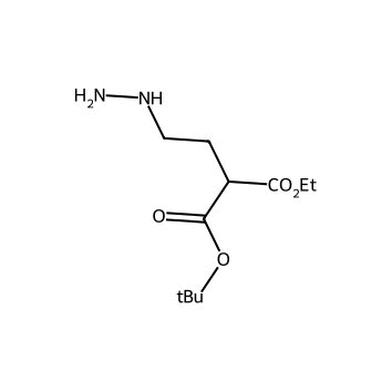 CCOC(=O)C(CCNN)C(=O)OC(C)(C)C